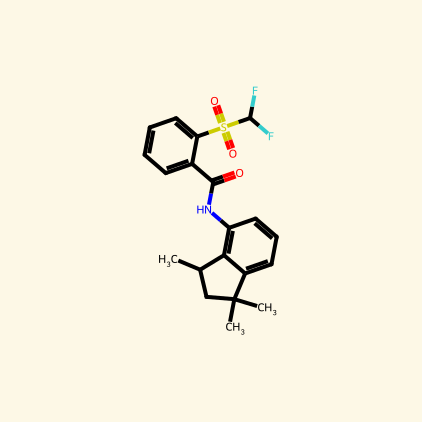 CC1CC(C)(C)c2cccc(NC(=O)c3ccccc3S(=O)(=O)C(F)F)c21